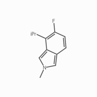 CC(C)c1c(F)ccc2cn(C)cc12